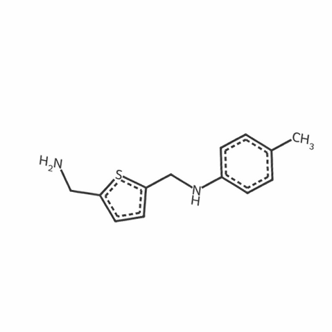 Cc1ccc(NCc2ccc(CN)s2)cc1